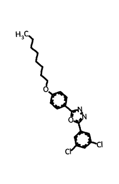 CCCCCCCCOc1ccc(-c2nnc(-c3cc(Cl)cc(Cl)c3)o2)cc1